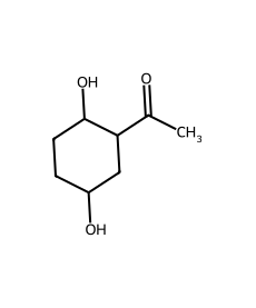 CC(=O)C1CC(O)CCC1O